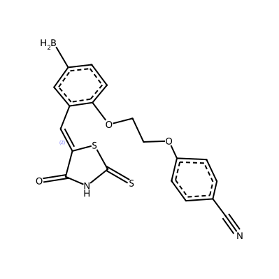 Bc1ccc(OCCOc2ccc(C#N)cc2)c(/C=C2\SC(=S)NC2=O)c1